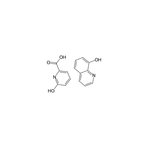 O=C(O)c1cccc(O)n1.Oc1cccc2cccnc12